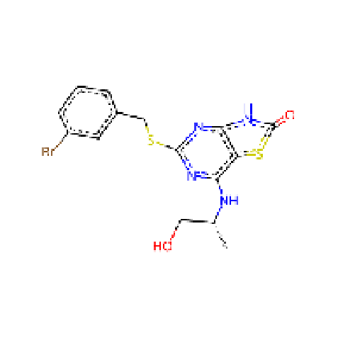 C[C@H](CO)Nc1nc(SCc2cccc(Br)c2)nc2[nH]c(=O)sc12